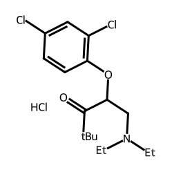 CCN(CC)CC(Oc1ccc(Cl)cc1Cl)C(=O)C(C)(C)C.Cl